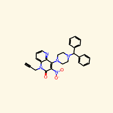 C#CCn1c(=O)c([N+](=O)[O-])c(N2CCN(C(c3ccccc3)c3ccccc3)CC2)c2ncccc21